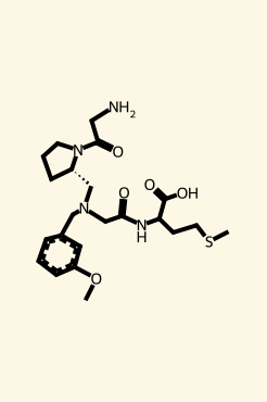 COc1cccc(CN(CC(=O)NC(CCSC)C(=O)O)C[C@@H]2CCCN2C(=O)CN)c1